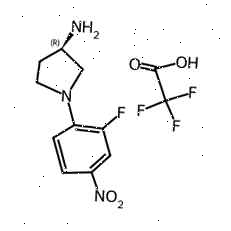 N[C@@H]1CCN(c2ccc([N+](=O)[O-])cc2F)C1.O=C(O)C(F)(F)F